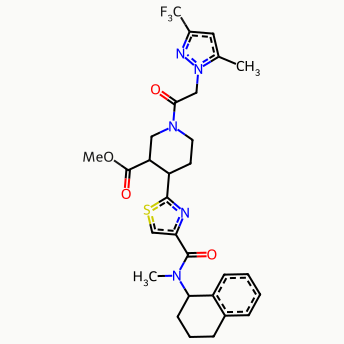 COC(=O)C1CN(C(=O)Cn2nc(C(F)(F)F)cc2C)CCC1c1nc(C(=O)N(C)C2CCCc3ccccc32)cs1